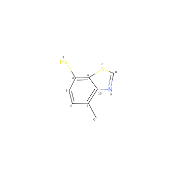 Cc1ccc(S)c2scnc12